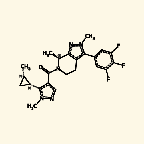 C[C@H]1C[C@H]1c1c(C(=O)N2CCc3c(nn(C)c3-c3cc(F)c(F)c(F)c3)[C@@H]2C)cnn1C